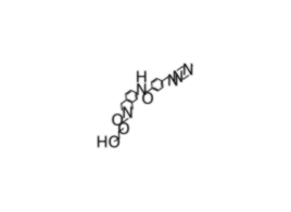 CN1CCN(/N=C/c2ccc(C(=O)Nc3ccc4c(c3)CN(CC(=O)OCCO)CC4)cc2)CC1